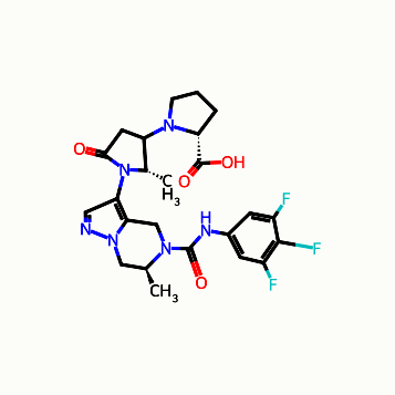 C[C@H]1Cn2ncc(N3C(=O)CC(N4CCC[C@@H]4C(=O)O)[C@@H]3C)c2CN1C(=O)Nc1cc(F)c(F)c(F)c1